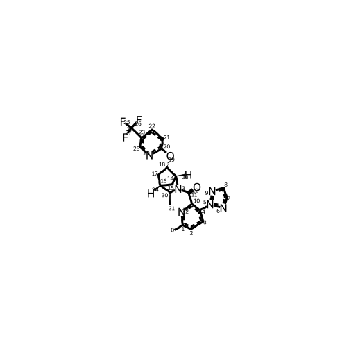 Cc1ccc(-n2nccn2)c(C(=O)N2[C@@H]3C[C@@H](C[C@@H]3Oc3ccc(C(F)(F)F)cn3)[C@@H]2C)n1